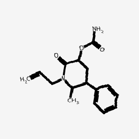 C=CCN1C(=O)C(OC(N)=O)CC(c2ccccc2)C1C